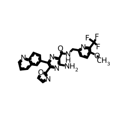 COc1ccc(CNC(=O)c2nc(-c3ccc4ncccc4c3)c(-c3ncco3)nc2N)nc1C(F)(F)F